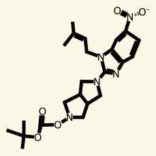 CC(C)=CCn1c(N2CC3CN(OC(=O)OC(C)(C)C)CC3C2)nc2ccc([N+](=O)[O-])cc21